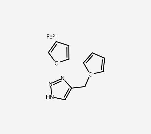 [Fe+2].c1cc[c-](Cc2c[nH]nn2)c1.c1cc[cH-]c1